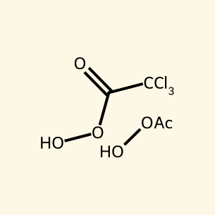 CC(=O)OO.O=C(OO)C(Cl)(Cl)Cl